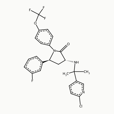 CC(C)(N[C@@H]1C[C@@H](c2cccc(F)c2)N(c2ccc(OC(F)(F)F)cc2)C1=O)c1ccc(Cl)nc1